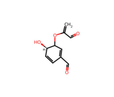 C=C(C=O)OC1C=C(C=O)C=C[C@H]1O